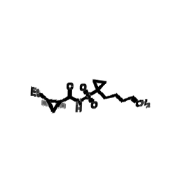 C=CCCCC1(S(=O)(=O)NC(=O)[C@H]2C[C@H]2CC)CC1